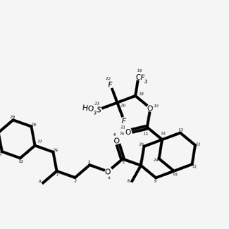 CC(CCOC(=O)C1(C)CC2CCCC(C(=O)OC(C(F)(F)F)C(F)(F)S(=O)(=O)O)(C2)C1)CC1CCCCC1